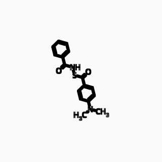 CN(C)c1ccc(C(=O)SNC(=O)c2ccccc2)cc1